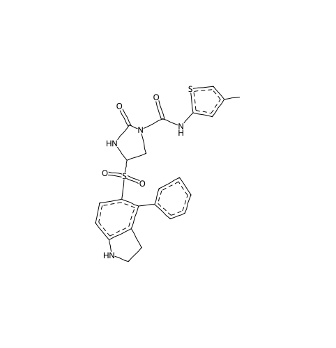 Cc1csc(NC(=O)N2CC(S(=O)(=O)c3ccc4c(c3-c3ccccc3)CCN4)NC2=O)c1